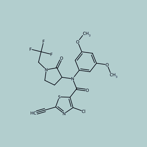 C#Cc1nc(Cl)c(C(=O)N(c2cc(OC)cc(OC)c2)C2CCN(CC(F)(F)F)C2=O)s1